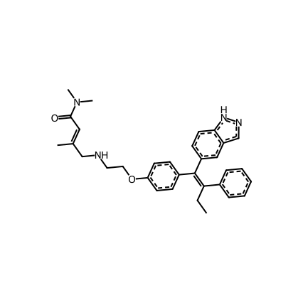 CCC(=C(c1ccc(OCCNCC(C)=CC(=O)N(C)C)cc1)c1ccc2[nH]ncc2c1)c1ccccc1